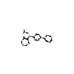 ClC1N=c2ccccc2=C(c2ccc(-c3ccccc3)cc2)N1